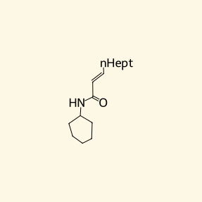 CCCCCCCC=CC(=O)NC1CCCCC1